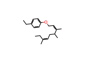 CCC(C)=CCC(C)C(C)=CCOc1ccc(CC)cc1